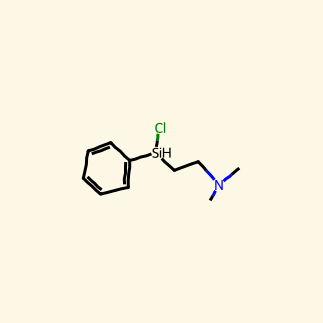 CN(C)CC[SiH](Cl)c1ccccc1